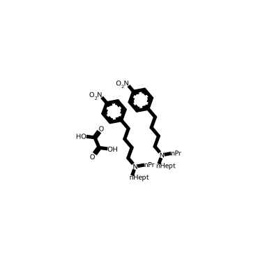 CCCCCCCN(CCC)CCCCc1ccc([N+](=O)[O-])cc1.CCCCCCCN(CCC)CCCCc1ccc([N+](=O)[O-])cc1.O=C(O)C(=O)O